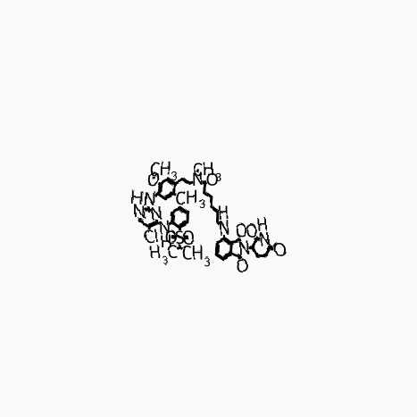 COc1cc(CCN(C)C(=O)CCCCCNc2cccc3c2C(=O)N(C2CCC(=O)NC2=O)C3=O)c(C)cc1Nc1ncc(Cl)c(Nc2ccccc2S(=O)(=O)C(C)C)n1